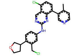 Cc1ccncc1-c1ccc(Cl)c2cnc(Nc3ccc(C4CCOC4)c(CCl)c3)nc12